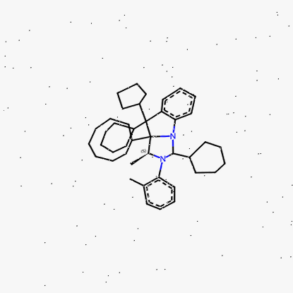 Cc1ccccc1N1C(C2CCCCC2)N2c3ccccc3C(C3CCCCC3)(C3CCCC3)C2(C2CCCCCCC2)[C@@H]1C